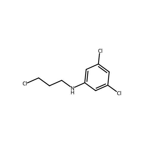 ClCCCNc1cc(Cl)cc(Cl)c1